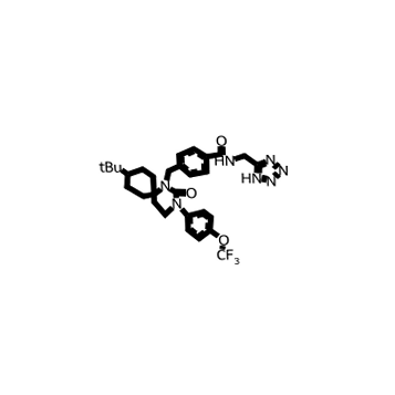 CC(C)(C)C1CCC2(CC1)CCN(c1ccc(OC(F)(F)F)cc1)C(=O)N2Cc1ccc(C(=O)NCc2nnn[nH]2)cc1